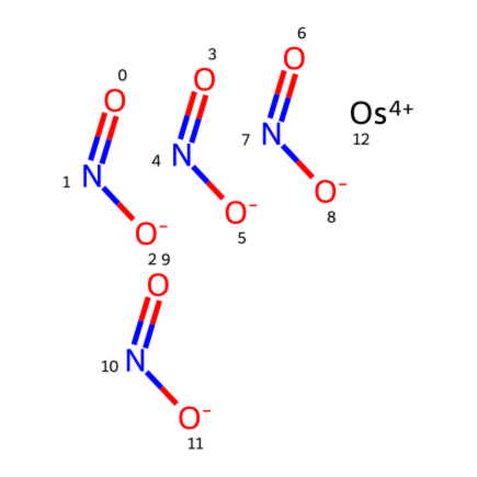 O=N[O-].O=N[O-].O=N[O-].O=N[O-].[Os+4]